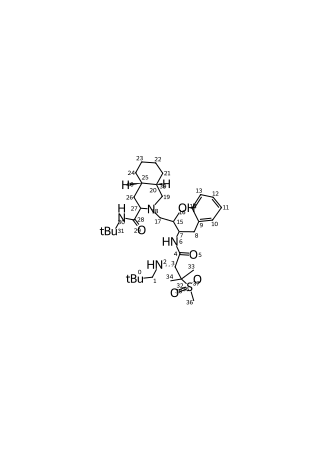 CC(C)(C)CN[C@H](C(=O)NC(Cc1ccccc1)C(O)CN1C[C@H]2CCCC[C@H]2CC1C(=O)NC(C)(C)C)C(C)(C)S(C)(=O)=O